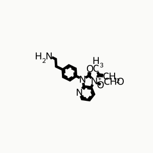 C=C(C)[N+]1(OC=O)C(=O)N(c2ccc(CCN)cc2)c2ncccc21